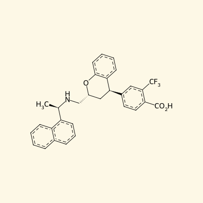 C[C@@H](NC[C@H]1C[C@H](c2ccc(C(=O)O)c(C(F)(F)F)c2)c2ccccc2O1)c1cccc2ccccc12